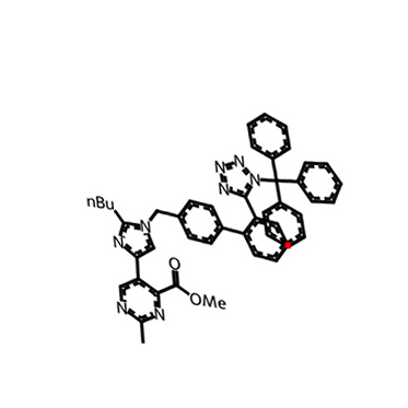 CCCCc1nc(-c2cnc(C)nc2C(=O)OC)cn1Cc1ccc(-c2ccccc2-c2nnnn2C(c2ccccc2)(c2ccccc2)c2ccccc2)cc1